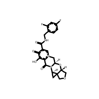 O=C(NCc1ccc(F)cc1F)c1cn2c(c(O)c1=O)C(=O)N1[C@@H](C2)O[C@@H]2COCC23C[C@@H]13